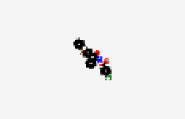 O=C(O/N=C(/C(=O)c1ccc(Sc2ccccc2)cc1)c1ccccc1)c1ccc(Cl)cc1